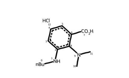 CCCCNc1cccc(C(=O)O)c1N(C)C.Cl